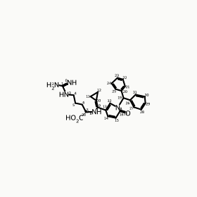 N=C(N)NCCC[C@H](NC(=C1CC1)c1ccc(=O)n(C(c2ccccc2)c2ccccc2)c1)C(=O)O